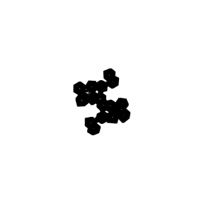 c1ccc([Si](c2ccccc2)(c2ccccc2)c2ccc3c(c2)c(-c2cccc(-c4cccc5ccccc45)c2)cc2c4ccc([Si](c5ccccc5)(c5ccccc5)c5ccccc5)cc4c(-c4cccc(-c5cccc6ccccc56)c4)cc32)cc1